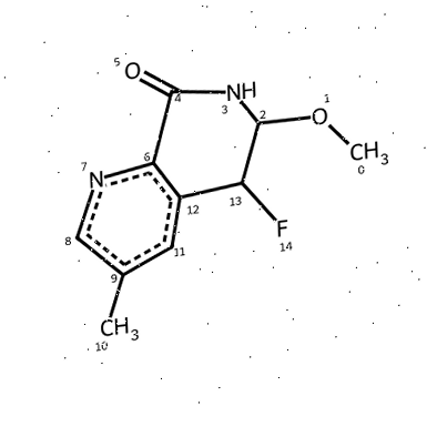 COC1NC(=O)c2ncc(C)cc2C1F